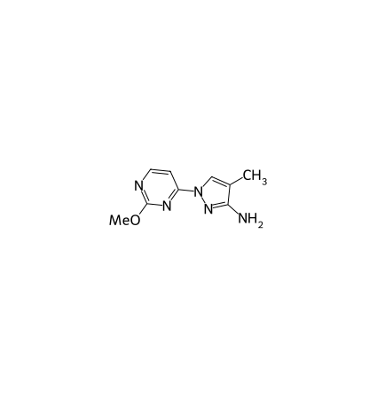 COc1nccc(-n2cc(C)c(N)n2)n1